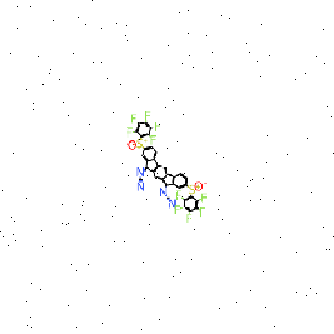 N#C/N=c1\c2cc([S+]([O-])c3c(F)c(F)c(F)c(F)c3F)ccc2c2cc3c(cc12)/c(=N\C#N)c1cc([S+]([O-])c2c(F)c(F)c(F)c(F)c2F)ccc13